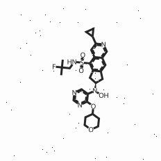 CC(C)(F)CNS(=O)(=O)c1c2c(cc3cnc(C4CC4)cc13)C[C@@H](N(O)c1cncnc1OC1CCOCC1)C2